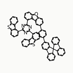 c1ccc2c(c1)-c1ccccc1C21c2ccccc2-c2ccc(-c3ccc(-c4ccc5oc6cccc(-c7nc(-c8cccc9sc%10ccccc%10c89)nc(-c8cccc9sc%10ccccc%10c89)n7)c6c5c4)cc3)cc21